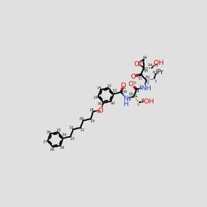 CC(C)C[C@H](NC(=O)[C@H](CO)NC(=O)c1cccc(OCCCCCCc2ccccc2)c1)C(=O)[C@]1(CO)CO1